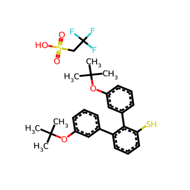 CC(C)(C)Oc1cccc(-c2cccc(S)c2-c2cccc(OC(C)(C)C)c2)c1.O=S(=O)(O)CC(F)(F)F